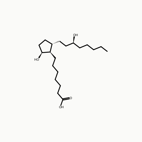 CCCCC[C@H](O)CC[C@H]1CC[C@H](O)[C@@H]1CCCCCCC(=O)O